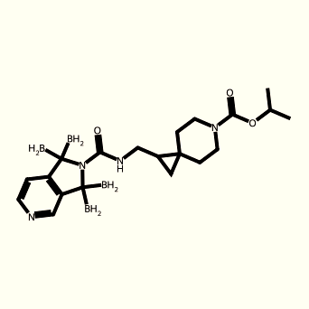 BC1(B)c2ccncc2C(B)(B)N1C(=O)NCC1CC12CCN(C(=O)OC(C)C)CC2